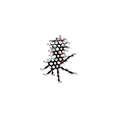 BBB(B)B(B(B)B)C1=C(B(B(B)B)B(B)B)C(B(BB)B(B)B)C(B(B)B(B)B)c2c1c(B)c(C)c(C)c2-c1c(C)c(C)c(C)c2c(C)c3c(-c4c(C)c5c(C)c(C)c(C#CC)c(C#CC#C)c5c5c(C#CC#CC)c(C#CC#CC#C)c(C#CC#CC#CC)c(C#CC#CC#CC#C)c45)c(C)c(C)c(C)c3c(C)c12